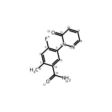 Cc1cc(F)c(-n2ncccc2=O)cc1C(N)=O